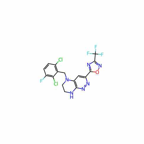 Fc1ccc(Cl)c(CN2CCNc3nnc(-c4nc(C(F)(F)F)no4)cc32)c1Cl